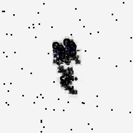 CCCCC(CC)C/C(=C/C(=O)[O-])C(=O)[O-].CCCCC(CC)C/C(=C/C(=O)[O-])C(=O)[O-].CCCCC(CC)[CH2][Sn+4][CH2]C(CC)CCCC